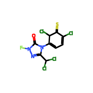 O=c1n(F)nc(C(Cl)Cl)n1C1=CC=C(Cl)C(=S)C1Cl